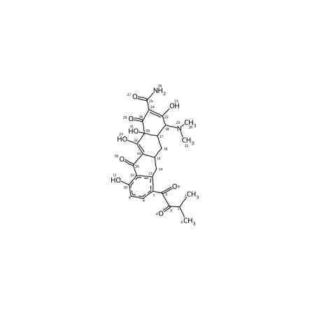 CC(C)C(=O)C(=O)c1ccc(O)c2c1CC1CC3C(N(C)C)C(O)=C(C(N)=O)C(=O)C3(O)C(O)=C1C2=O